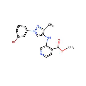 COC(=O)c1ccncc1Nc1cn(-c2cccc(Br)c2)nc1C